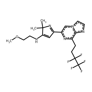 COCCNC1=CC(c2cn3ccnc3c(CCC(F)(F)C(F)(F)F)n2)=NC1(C)C